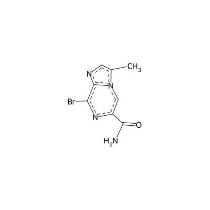 Cc1cnc2c(Br)nc(C(N)=O)cn12